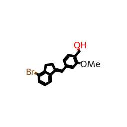 COc1cc(C=C2CCc3c(Br)cccc32)ccc1CO